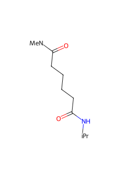 CNC(=O)CCCCC(=O)NC(C)C